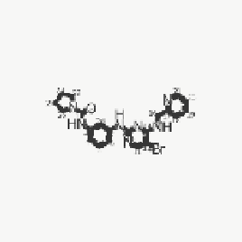 O=C(Nc1cccc(Nc2ncc(Br)c(NCc3ccccn3)n2)c1)N1CCCC1